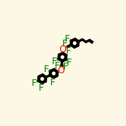 C=CCCc1ccc(C(F)(F)Oc2cc(F)c(C(F)(F)Oc3cc(F)c(-c4ccc(F)c(F)c4)c(F)c3)c(F)c2)c(F)c1